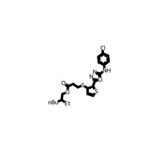 CCCCC(CC)COC(=O)CCSC1C=CSC1c1nnc(Nc2ccc(Cl)cc2)o1